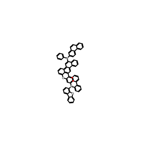 c1ccc(-c2ccccc2N(c2ccc3c(c2)Oc2cccc4c2c-3cc2c3ccccc3c(N(c3ccccc3)c3ccc5c(ccc6ccccc65)c3)cc42)c2cccc3c2oc2ccccc23)cc1